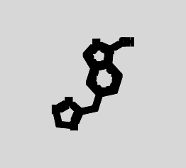 On1ncc2cc(CC3=NCN=N3)ccc21